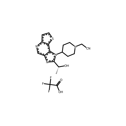 C[C@@H](O)c1nc2cnc3ccsc3c2n1C1CCN(CC#N)CC1.O=C(O)C(F)(F)F